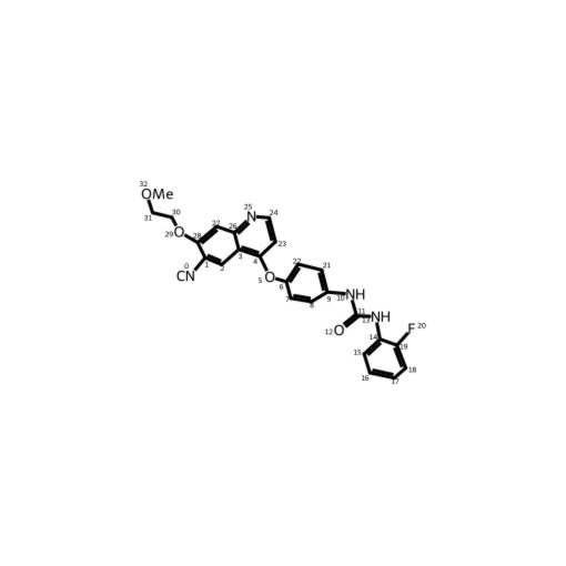 [C-]#[N+]c1cc2c(Oc3ccc(NC(=O)Nc4ccccc4F)cc3)ccnc2cc1OCCOC